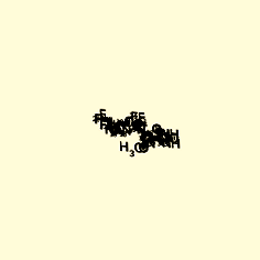 COc1cc(N2C[C@H](Oc3cc4c(cn3)cnn4CC(F)(F)F)C(F)(F)C2)cc(-c2c[nH]c(=O)[nH]c2=O)n1